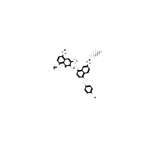 CC(=O)Nc1ccc(S(=O)(=O)O)c2c1C(=O)/C(=N/Nc1ccc(N=Nc3ccc(S(=O)(=O)O)cc3)c3ccc(S(=O)(=O)O)cc13)C(S(=O)(=O)O)=C2.[NaH].[NaH].[NaH].[NaH]